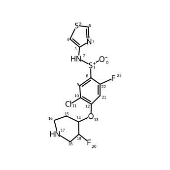 [O-][S+](Nc1cscn1)c1cc(Cl)c(OC2CCNCC2F)cc1F